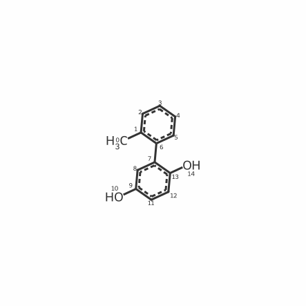 Cc1ccccc1-c1cc(O)ccc1O